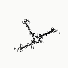 CC(=O)NCCOCCOCCNC(=O)CN1CCNCCN(CC(=O)NCCOCCOCCNC(C)=O)CCN(CC(=O)NCCOCCOCCNC(C)=O)CC1